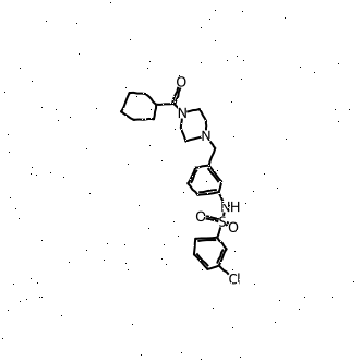 O=C(C1CCCCC1)N1CCN(Cc2cccc(NS(=O)(=O)c3cccc(Cl)c3)c2)CC1